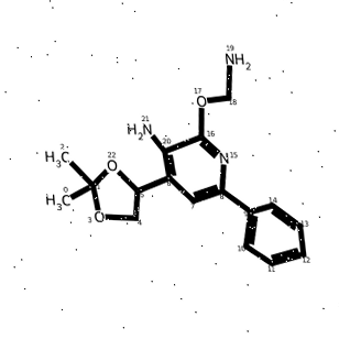 CC1(C)OCC(c2cc(-c3ccccc3)nc(OCN)c2N)O1